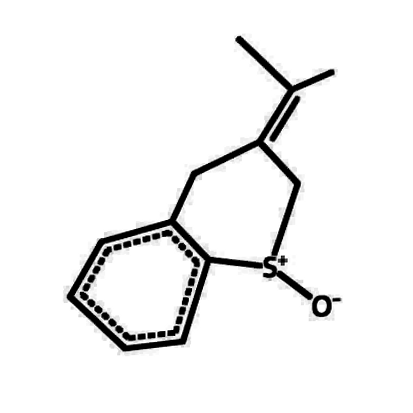 CC(C)=C1Cc2ccccc2[S+]([O-])C1